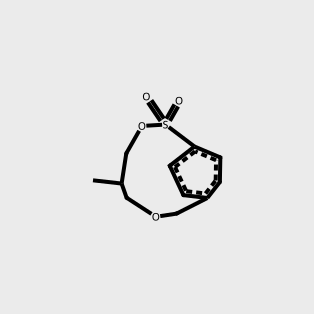 CC1COCc2ccc(cc2)S(=O)(=O)OC1